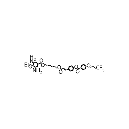 CCOc1c(N)cc(C(=O)OCCCCCCOC(=O)/C=C/c2ccc(OC(=O)c3ccc(OCCCC(F)(F)F)cc3)cc2)cc1N